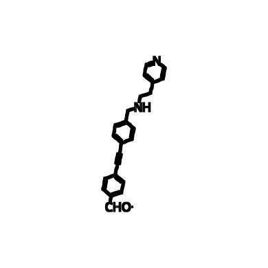 O=[C]c1ccc(C#Cc2ccc(CNCCc3ccncc3)cc2)cc1